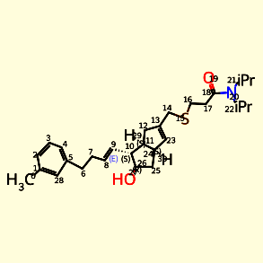 Cc1cccc(CC/C=C/[C@@H]2[C@H]3CC(CSCCC(=O)N(C(C)C)C(C)C)=C[C@H]3C[C@H]2O)c1